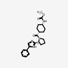 COC(=O)N[C@H]1CC[C@@H](C(=O)N2CCC[C@H]2c2ncc(-c3ccccc3)[nH]2)CC1